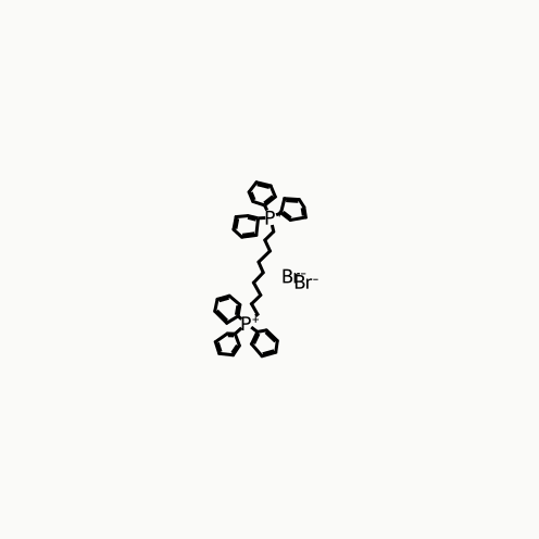 [Br-].[Br-].c1ccc([P+](CCCCCCCCC[P+](c2ccccc2)(c2ccccc2)c2ccccc2)(c2ccccc2)c2ccccc2)cc1